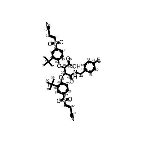 CC(C)(C)c1cc(S(=O)(=O)C=CC#N)ccc1OC(C(=O)O)C(Oc1ccc(S(=O)(=O)C=CC#N)cc1C(C)(C)C)C(=O)NCc1ccc(F)cc1